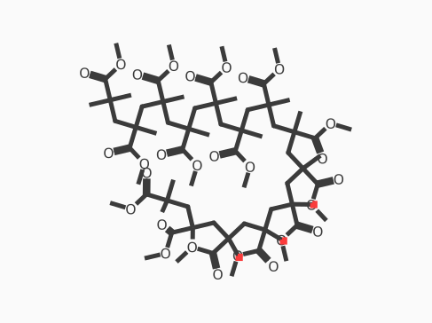 COC(=O)C(C)(C)CC(C)(CC(C)(CC(C)(CC(C)(CC(C)(CC(C)(CC(C)(CC(C)(CC(C)(CC(C)(CC(C)(CC(C)(CC(C)(C)C(=O)OC)C(=O)OC)C(=O)OC)C(=O)OC)C(=O)OC)C(=O)OC)C(=O)OC)C(=O)OC)C(=O)OC)C(=O)OC)C(=O)OC)C(=O)OC)C(=O)OC